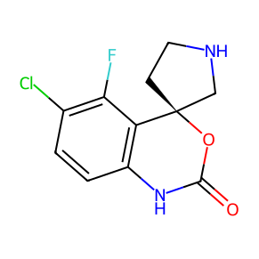 O=C1Nc2ccc(Cl)c(F)c2[C@@]2(CCNC2)O1